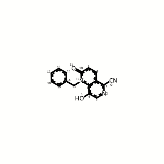 N#Cc1ncc(O)c2c1ccc(=O)n2Cc1ccccc1